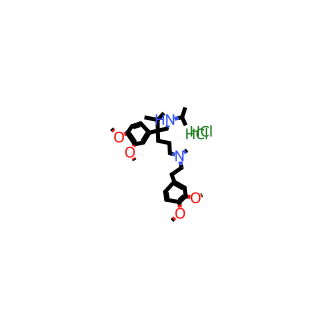 COc1ccc(CCN(C)CCCC(CNC(C)C)(c2ccc(OC)c(OC)c2)C(C)C)cc1OC.Cl.Cl